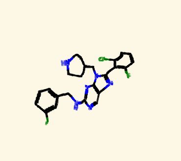 Fc1cccc(CNc2ncc3nc(-c4c(F)cccc4Cl)n(CC4CCNC4)c3n2)c1